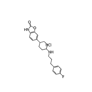 Cl.O=c1[nH]c2ccc(C3CCC(NCCCc4ccc(F)cc4)CC3)cc2o1